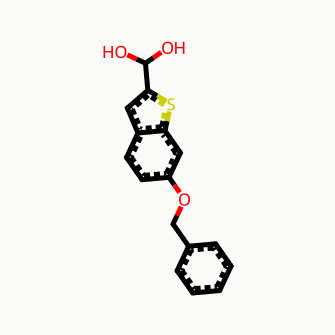 OC(O)c1cc2ccc(OCc3ccccc3)cc2s1